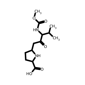 COC(=O)NC(C(=O)CC1CCC(C(=O)O)N1)C(C)C